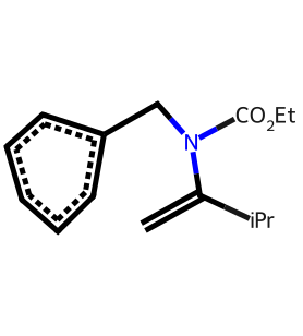 C=C(C(C)C)N(Cc1ccccc1)C(=O)OCC